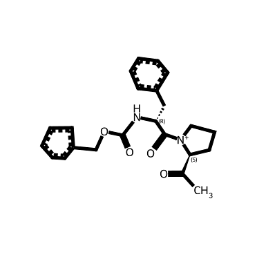 CC(=O)[C@@H]1CCC[N+]1C(=O)[C@@H](Cc1ccccc1)NC(=O)OCc1ccccc1